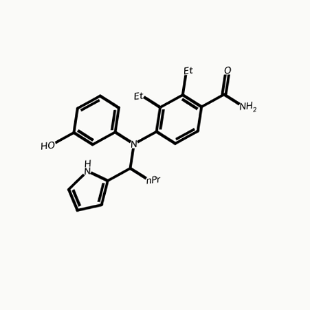 CCCC(c1ccc[nH]1)N(c1cccc(O)c1)c1ccc(C(N)=O)c(CC)c1CC